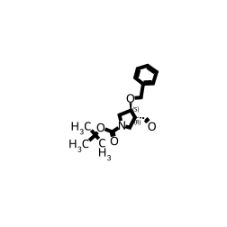 CC(C)(C)OC(=O)N1C[C@@H](C=O)[C@H](OCc2ccccc2)C1